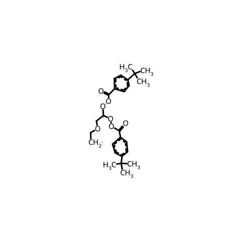 [CH2]COC[C](OOC(=O)c1ccc(C(C)(C)C)cc1)OOC(=O)c1ccc(C(C)(C)C)cc1